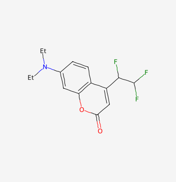 CCN(CC)c1ccc2c(C(F)C(F)F)cc(=O)oc2c1